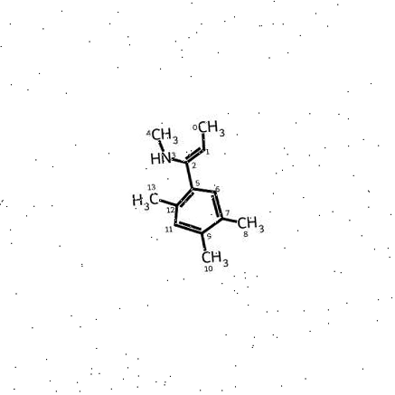 CC=C(NC)c1cc(C)c(C)cc1C